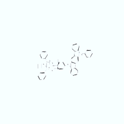 c1ccc(C2NC(c3ccccc3)NC(c3ccc(-n4c5ccccc5c5cc6c(cc54)c4ccccc4n6-c4ccccc4)cc3)N2)cc1